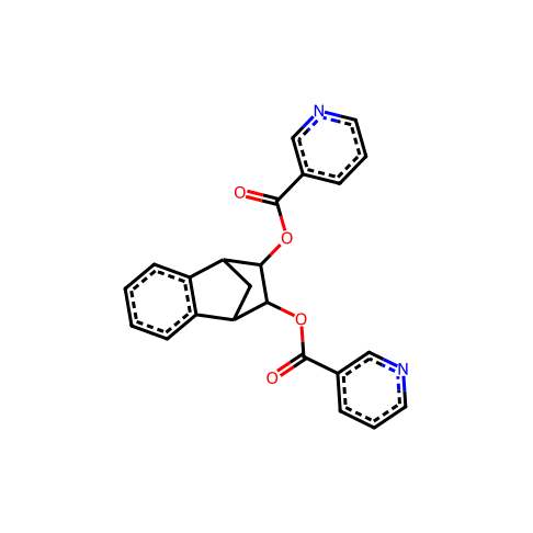 O=C(OC1C2CC(c3ccccc32)C1OC(=O)c1cccnc1)c1cccnc1